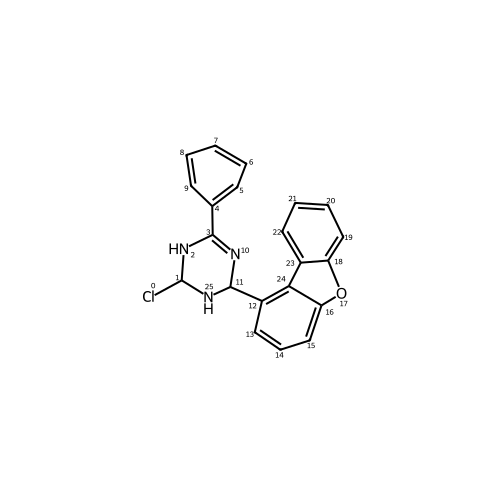 ClC1NC(c2ccccc2)=NC(c2cccc3oc4ccccc4c23)N1